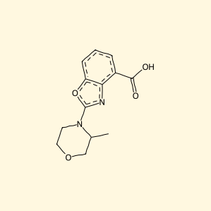 CC1COCCN1c1nc2c(C(=O)O)cccc2o1